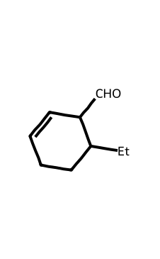 CCC1CCC=CC1C=O